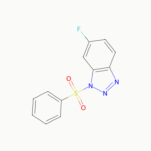 O=S(=O)(c1ccccc1)n1nnc2ccc(F)cc21